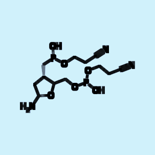 N#CCCOP(O)C[C@H]1CC(N)OC1COP(O)OCCC#N